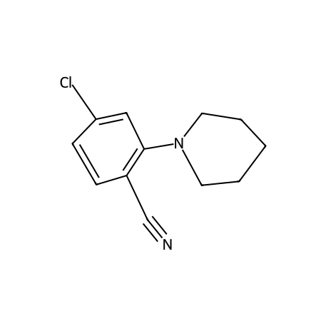 N#Cc1ccc(Cl)cc1N1CCCCC1